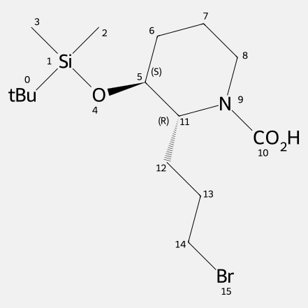 CC(C)(C)[Si](C)(C)O[C@H]1CCCN(C(=O)O)[C@@H]1CCCBr